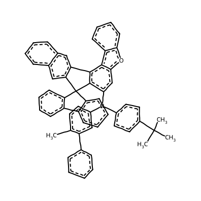 Cc1ccc(N(c2ccc(C(C)(C)C)cc2)c2cc3oc4ccccc4c3c3c2C2(c4ccccc4-c4ccccc42)c2cc4ccccc4cc2-3)cc1-c1ccccc1